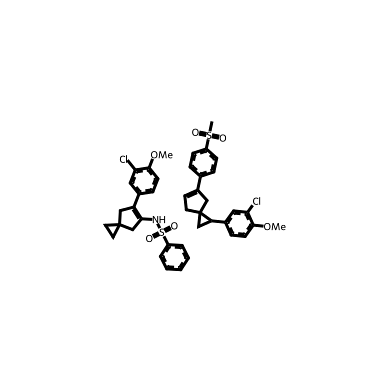 COc1ccc(C2=C(NS(=O)(=O)c3ccccc3)CC3(CC3)C2)cc1Cl.COc1ccc(C2CC23CC=C(c2ccc(S(C)(=O)=O)cc2)C3)cc1Cl